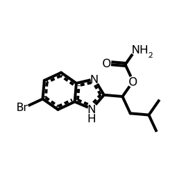 CC(C)CC(OC(N)=O)c1nc2ccc(Br)cc2[nH]1